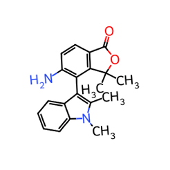 Cc1c(-c2c(N)ccc3c2C(C)(C)OC3=O)c2ccccc2n1C